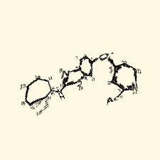 CC(=O)c1cc(Oc2ccc3nc(N[C@@H]4CCCC[C@H]4C)sc3c2)ccn1